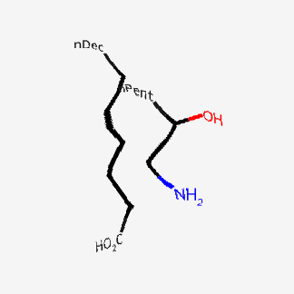 CCCCCC(O)CN.CCCCCCCCCCCCCCCC(=O)O